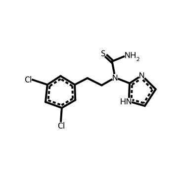 NC(=S)N(CCc1cc(Cl)cc(Cl)c1)c1ncc[nH]1